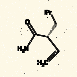 C=C[C@@H](CC(C)C)C(N)=O